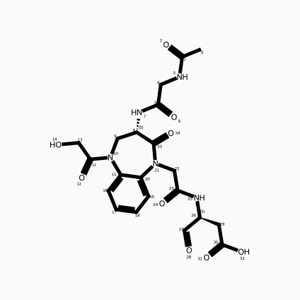 CC(=O)NCC(=O)N[C@H]1CN(C(=O)CO)c2ccccc2N(CC(=O)N[C@H](C=O)CC(=O)O)C1=O